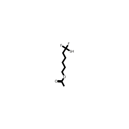 CC(=O)OCCCCCC(F)(F)S